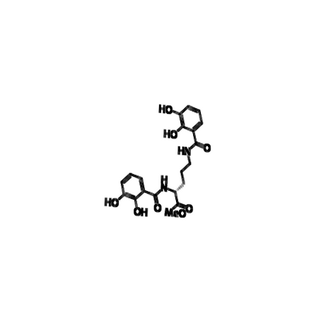 COC(=O)[C@@H](CCCNC(=O)c1cccc(O)c1O)NC(=O)c1cccc(O)c1O